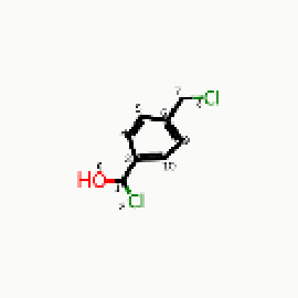 OC(Cl)c1ccc(CCl)cc1